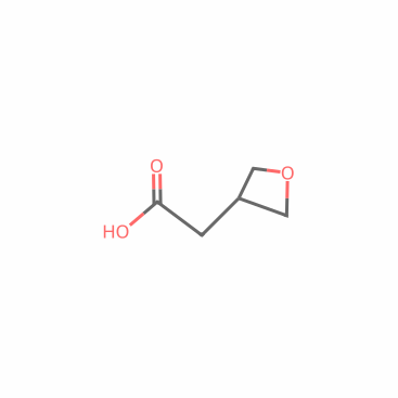 O=C(O)CC1COC1